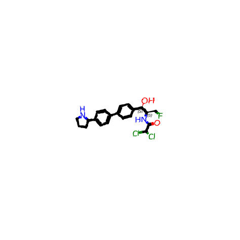 O=C(N[C@H](CF)[C@@H](O)c1ccc(-c2ccc(C3CCCN3)cc2)cc1)C(Cl)Cl